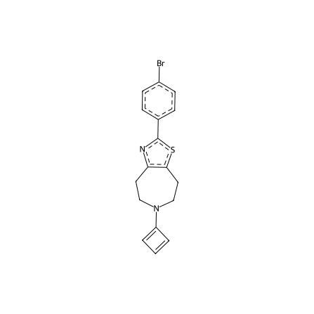 Brc1ccc(-c2nc3c(s2)CCN(C2=CC=C2)CC3)cc1